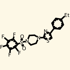 CCc1ccc(-c2csc(N3CCN(S(=O)(=O)c4c(F)c(F)c(F)c(F)c4F)CC3)n2)cc1